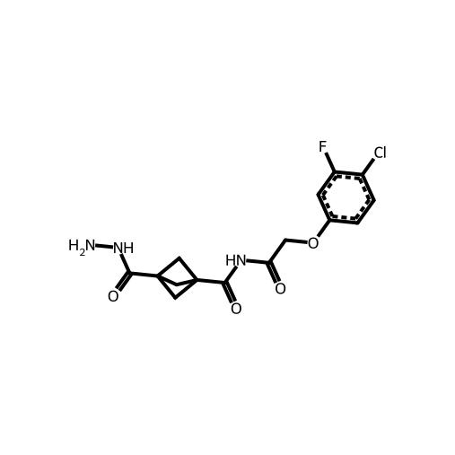 NNC(=O)C12CC(C(=O)NC(=O)COc3ccc(Cl)c(F)c3)(C1)C2